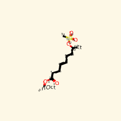 CCCCCCCCOC(=O)CCCCCCC(CC)OS(C)(=O)=O